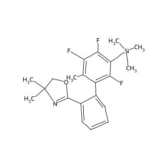 Cc1c(F)c(F)c([Si](C)(C)C)c(F)c1-c1ccccc1C1=NC(C)(C)CO1